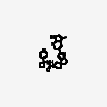 Cc1c[nH]c2ncc(-c3cc4n(n3)CCC43CCN(C(=O)NC4(c5ccncc5)CCC4)C3)cc12